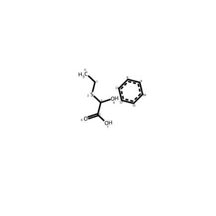 CCSC(O)C(=O)O.c1ccccc1